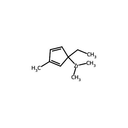 CC[C]1([Zr]([CH3])[CH3])C=CC(C)=C1